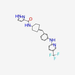 O=C(NC1CCC(=Cc2cccc(Nc3ccc(C(F)(F)F)cn3)c2)CC1)c1cc[nH]n1